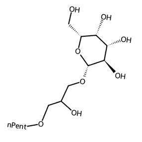 CCCCCOCC(O)CO[C@@H]1O[C@H](CO)[C@H](O)[C@H](O)[C@H]1O